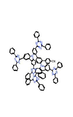 N#Cc1ccc(-c2cc(-c3cc(-c4nc(-c5ccccc5)nc(-c5ccccc5)n4)ccc3-n3c4ccc(-c5nc(-c6ccccc6)nc(-c6ccccc6)n5)cc4c4cc(-c5nc(-c6ccccc6)nc(-c6ccccc6)n5)ccc43)ccc2-n2c3ccc(-c4nc(-c5ccccc5)nc(-c5ccccc5)n4)cc3c3cc(-c4nc(-c5ccccc5)nc(-c5ccccc5)n4)ccc32)cc1